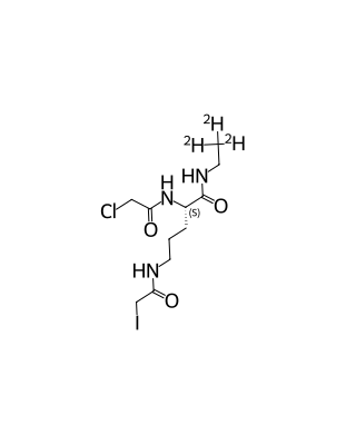 [2H]C([2H])([2H])CNC(=O)[C@H](CCCNC(=O)CI)NC(=O)CCl